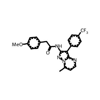 COc1ccc(CC(=O)Nc2nn3c(C)ccnc3c2-c2ccc(C(F)(F)F)cc2)cc1